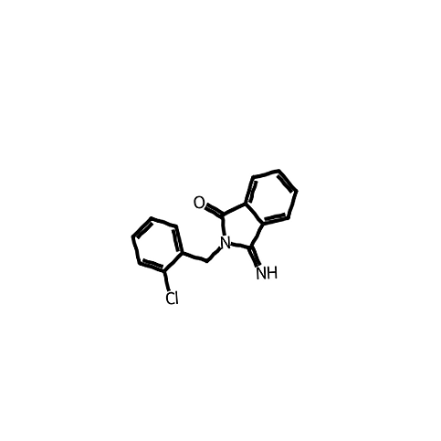 N=C1c2ccccc2C(=O)N1Cc1ccccc1Cl